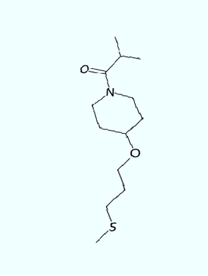 CSCCCOC1CCN(C(=O)C(C)C)CC1